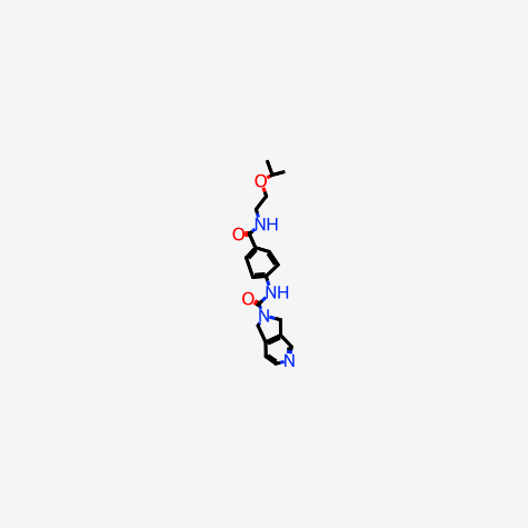 CC(C)OCCNC(=O)c1ccc(NC(=O)N2Cc3ccncc3C2)cc1